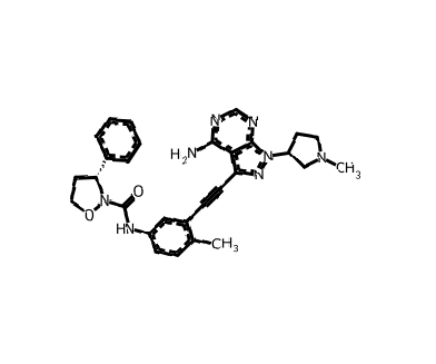 Cc1ccc(NC(=O)N2OCC[C@@H]2c2ccccc2)cc1C#Cc1nn(C2CCN(C)C2)c2ncnc(N)c12